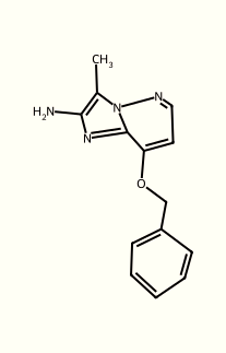 Cc1c(N)nc2c(OCc3ccccc3)ccnn12